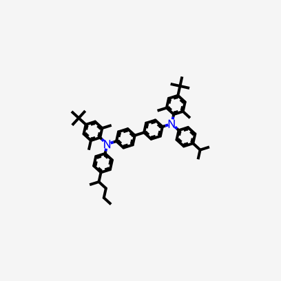 CCCC(C)c1ccc(N(c2ccc(-c3ccc(N(c4ccc(C(C)C)cc4)c4c(C)cc(C(C)(C)C)cc4C)cc3)cc2)c2c(C)cc(C(C)(C)C)cc2C)cc1